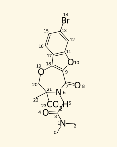 CN(C)C(=O)CN1C(=O)c2oc3cc(Br)ccc3c2OCC1(C)C(=O)O